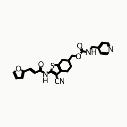 N#Cc1c(NC(=O)C=Cc2ccco2)sc2c1CCC(COC(=O)NCc1ccncc1)C2